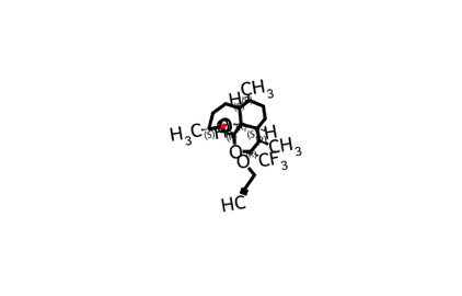 C#CCO[C@@]1(C(F)(F)F)O[C@@H]2O[C@]3(C)CC[C@H]4[C@H](C)CC[C@@H]([C@H]1C)[C@@]24OO3